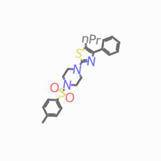 CCCc1sc(N2CCN(S(=O)(=O)c3ccc(C)cc3)CC2)nc1-c1ccccc1